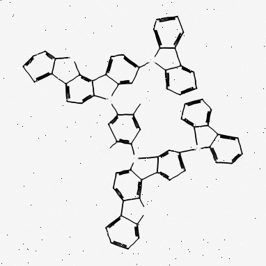 N#Cc1cc(-n2c3cc(-n4c5ccccc5c5ccccc54)ccc3c3c4oc5ccccc5c4ccc32)c(C#N)cc1-n1c2cc(-n3c4ccccc4c4ccccc43)ccc2c2c3oc4ccccc4c3ccc21